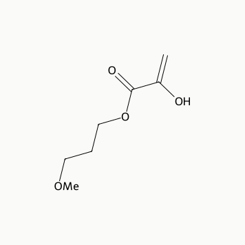 C=C(O)C(=O)OCCCOC